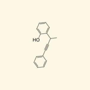 CC(C#Cc1ccccc1)c1ccccc1O